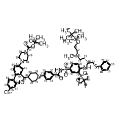 CN(CCO[Si](C)(C)C(C)(C)C)CC[C@H](CSc1ccccc1)Nc1ccc(S(=O)(=O)NC(=O)c2ccc(N3CCC([C@H](O)c4cc(N5CCN(C(=O)OC(C)(C)C)CC5)ccc4-c4ccc(Cl)cc4)CC3)cc2)cc1S(=O)(=O)C(F)(F)F